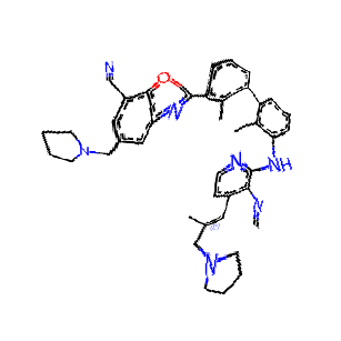 C=Nc1c(/C=C(\C)CN2CCCC2)ccnc1Nc1cccc(-c2cccc(-c3nc4cc(CN5CCCC5)cc(C#N)c4o3)c2C)c1C